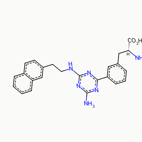 Nc1nc(NCCc2ccc3ccccc3c2)nc(-c2cccc(C[C@@H](N)C(=O)O)c2)n1